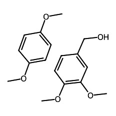 COc1ccc(CO)cc1OC.COc1ccc(OC)cc1